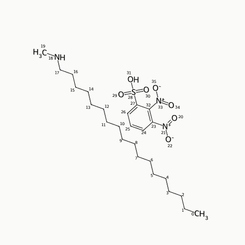 CCCCCCCCCCCCCCCCCCNC.O=[N+]([O-])c1cccc(S(=O)(=O)O)c1[N+](=O)[O-]